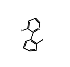 Fc1cccnc1-c1ccc[c]c1I